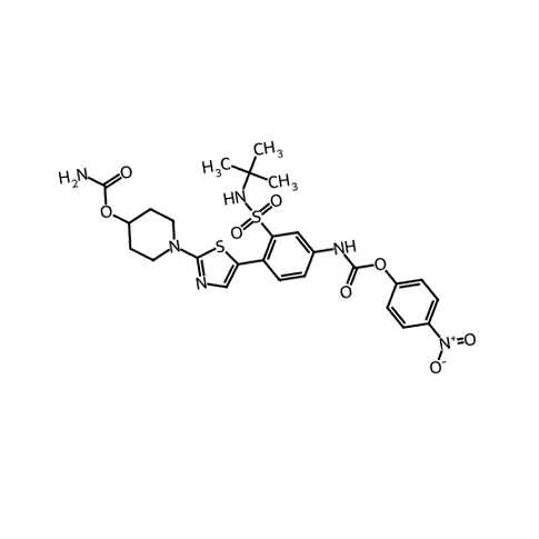 CC(C)(C)NS(=O)(=O)c1cc(NC(=O)Oc2ccc([N+](=O)[O-])cc2)ccc1-c1cnc(N2CCC(OC(N)=O)CC2)s1